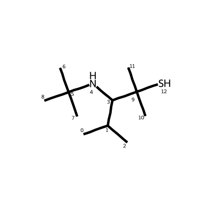 CC(C)C(NC(C)(C)C)C(C)(C)S